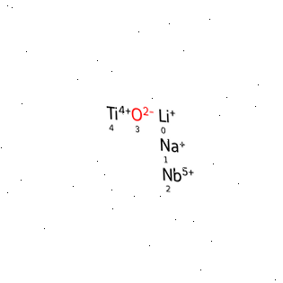 [Li+].[Na+].[Nb+5].[O-2].[Ti+4]